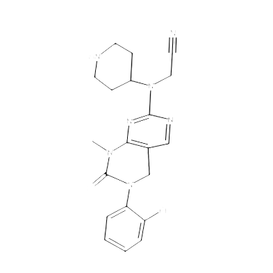 CN1C(=O)N(c2ccccc2Cl)Cc2cnc(N(CC#N)C3CCNCC3)nc21